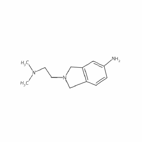 CN(C)CCN1Cc2ccc(N)cc2C1